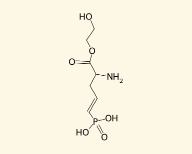 NC(C/C=C/P(=O)(O)O)C(=O)OCCO